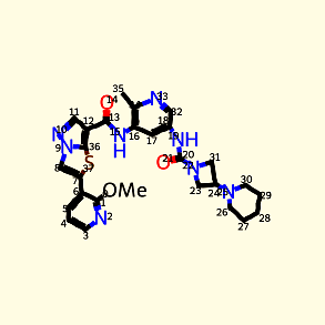 COc1ncccc1-c1cn2ncc(C(=O)Nc3cc(NC(=O)N4CC(N5CCCCC5)C4)cnc3C)c2s1